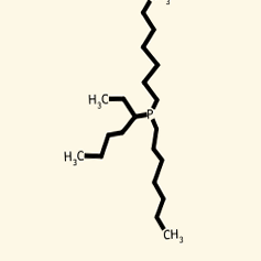 CCCCCCCP(CCCCCCC)C(CC)CCCC